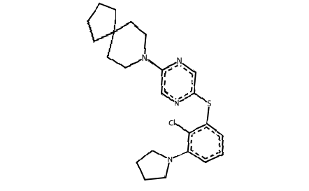 Clc1c(Sc2cnc(N3CCC4(CCCC4)CC3)cn2)cccc1N1CCCC1